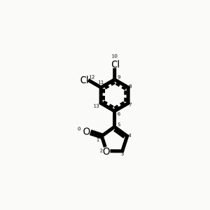 O=C1OCC=C1c1ccc(Cl)c(Cl)c1